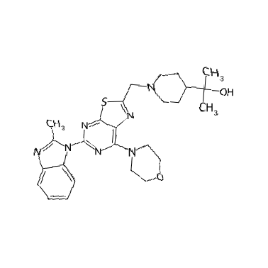 Cc1nc2ccccc2n1-c1nc(N2CCOCC2)c2nc(CN3CCC(C(C)(C)O)CC3)sc2n1